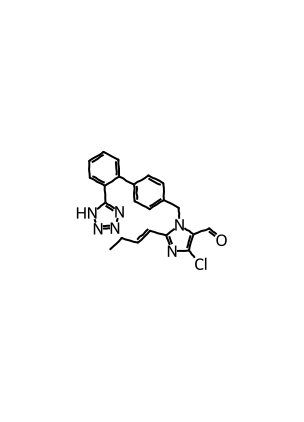 CCC=Cc1nc(Cl)c(C=O)n1Cc1ccc(-c2ccccc2-c2nnn[nH]2)cc1